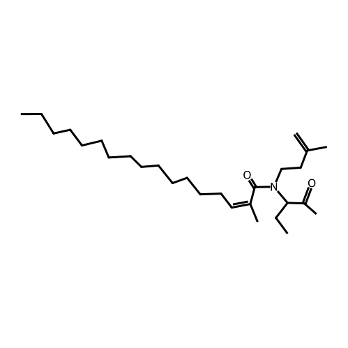 C=C(C)CCN(C(=O)/C(C)=C\CCCCCCCCCCCCCC)C(CC)C(C)=O